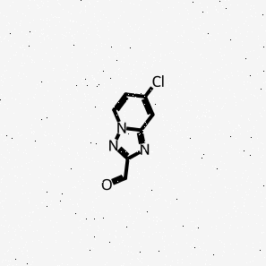 O=Cc1nc2cc(Cl)ccn2n1